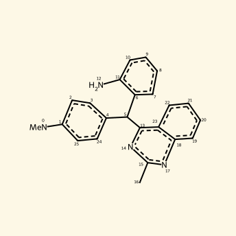 CNc1ccc(C(c2ccccc2N)c2nc(C)nc3ccccc23)cc1